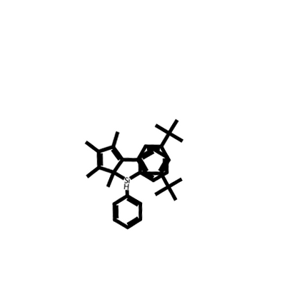 CC1=C(C)C(C)([SiH](c2ccccc2)c2ccccc2)C(c2cc(C(C)(C)C)cc(C(C)(C)C)c2)=C1C